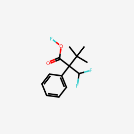 CC(C)(C)C(C(=O)OF)(c1ccccc1)C(F)F